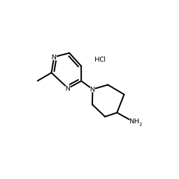 Cc1nccc(N2CCC(N)CC2)n1.Cl